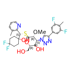 CO[C@@H]1[C@@H](n2cc(-c3cc(F)c(C)c(F)c3)nn2)[C@@H](O)[C@@H](CO)O[C@H]1S[C@@H](c1ncccc1C)C1(O)CCC(F)(F)CC1